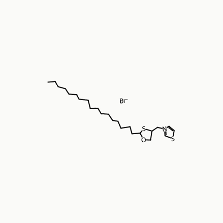 CCCCCCCCCCCCCCCCCC1OCC(C[n+]2ccsc2)S1.[Br-]